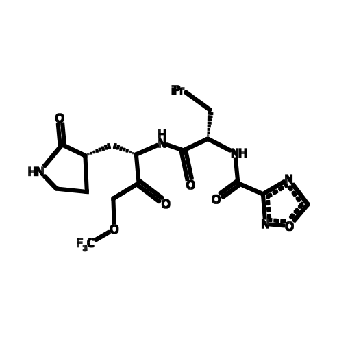 CC(C)C[C@H](NC(=O)c1ncon1)C(=O)N[C@@H](C[C@@H]1CCNC1=O)C(=O)COC(F)(F)F